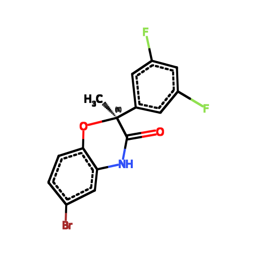 C[C@@]1(c2cc(F)cc(F)c2)Oc2ccc(Br)cc2NC1=O